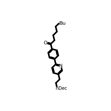 CCCCCCCCCCCCc1ccc(-c2ccc(C(=O)CCCCC(C)CC)cc2)nc1